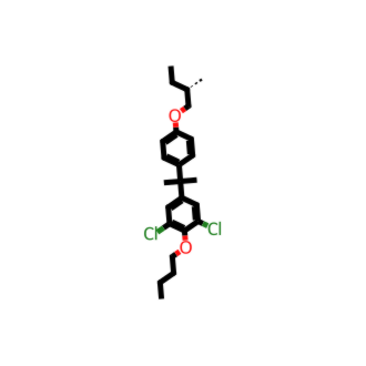 CCCCOc1c(Cl)cc(C(C)(C)c2ccc(OC[C@@H](C)CC)cc2)cc1Cl